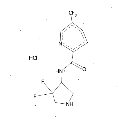 Cl.O=C(NC1CNCC1(F)F)c1ccc(C(F)(F)F)cn1